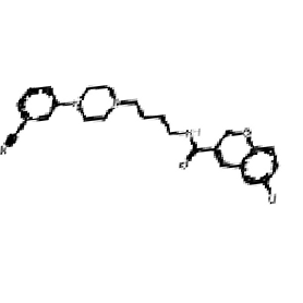 N#Cc1cccc(N2CCN(CCCCNC(=O)C3=Cc4cc(Cl)ccc4OC3)CC2)c1